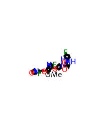 COc1cc2c(Oc3ccc(NC(=O)C4(C(=O)Nc5ccc(F)cc5)CC4)cc3F)ccnc2cc1OCC(F)CN1CCOCC1